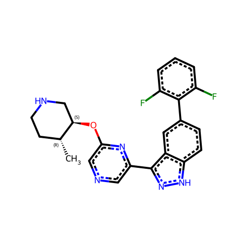 C[C@@H]1CCNC[C@H]1Oc1cncc(-c2n[nH]c3ccc(-c4c(F)cccc4F)cc23)n1